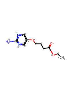 CCOC(=O)CCCOc1cnc(N)nc1